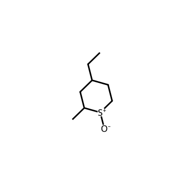 CCC1CC[S+]([O-])C(C)C1